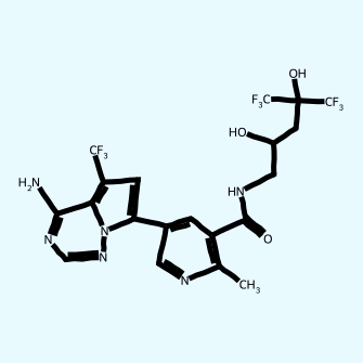 Cc1ncc(-c2cc(C(F)(F)F)c3c(N)ncnn23)cc1C(=O)NCC(O)CC(O)(C(F)(F)F)C(F)(F)F